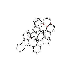 c1ccc(-c2ccccc2-n2c3ccccc3c3cccc(-n4c5c(-n6c7ccccc7c7ccccc76)cccc5c5cccc([Si](c6ccccc6)(c6ccccc6)c6ccccc6)c54)c32)cc1